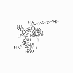 CCOc1cc2cc(C(=O)N3C[C@@H](CCl)c4c3cc(OS(=O)(=O)Oc3cc(C(=O)N(C)CCOCCOCCOCCN=[N+]=[N-])ccc3O[C@@H]3O[C@H](C(=O)O)[C@@H](O)[C@H](O)[C@H]3O)c3ccc(OC)cc43)[nH]c2cc1OC1O[C@H](C(=O)O)[C@@H](O)[C@H](O)[C@H]1O